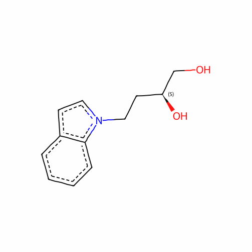 OC[C@@H](O)CCn1ccc2ccccc21